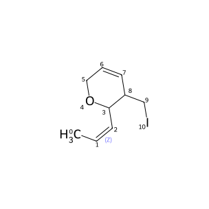 C/C=C\C1OCC=CC1CI